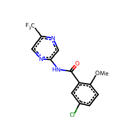 COc1ccc(Cl)cc1C(=O)Nc1cnc(C(F)(F)F)cn1